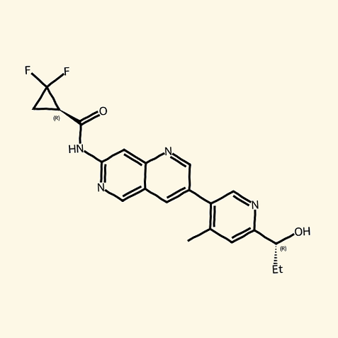 CC[C@@H](O)c1cc(C)c(-c2cnc3cc(NC(=O)[C@H]4CC4(F)F)ncc3c2)cn1